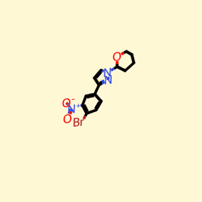 O=[N+]([O-])c1cc(-c2ccn(C3CCCCO3)n2)ccc1Br